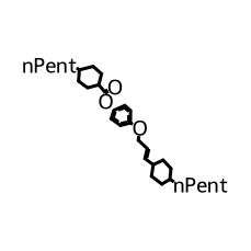 CCCCCC1CCC(C=CCOc2ccc(OC(=O)C3CCC(CCCCC)CC3)cc2)CC1